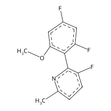 COc1cc(F)cc(F)c1-c1nc(C)ccc1F